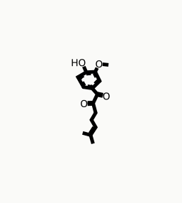 COc1cc(C(=O)C(=O)CCC=C(C)C)ccc1O